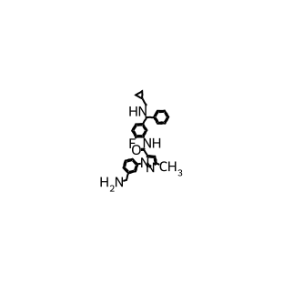 Cc1cc(C(=O)Nc2cc(C(NCC3CC3)c3ccccc3)ccc2F)n(-c2cccc(CN)c2)n1